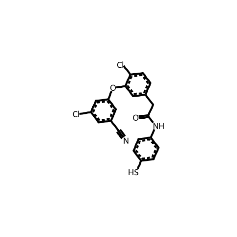 N#Cc1cc(Cl)cc(Oc2cc(CC(=O)Nc3ccc(S)cc3)ccc2Cl)c1